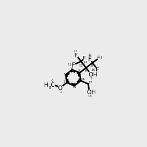 COc1ccc(C(O)(C(F)(F)F)C(F)(F)F)c(CO)c1